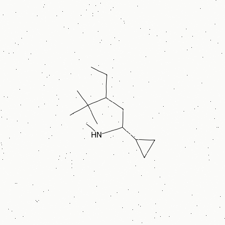 CCC(CC(NC)C1CC1)C(C)(C)C